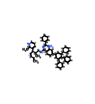 C=C/C=C\C(c1cccnc1C)C(C)C/N=C(\N=C(/N)c1ccccc1)c1ccc(-c2cc(-c3ccccc3)c(C3=C=C=CC=C3)c(C3C=CC=CC3)c2)cc1